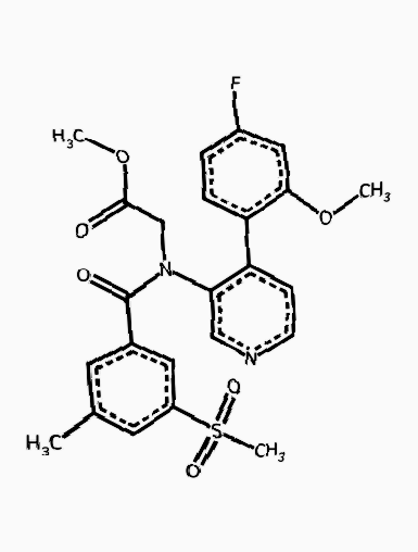 COC(=O)CN(C(=O)c1cc(C)cc(S(C)(=O)=O)c1)c1cnccc1-c1ccc(F)cc1OC